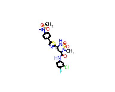 CN1[C@@H](C(=O)Nc2ccc(F)c(Cl)c2)C[C@@H](c2ncc(-c3ccc(NS(C)(=O)=O)cc3)s2)NS1(=O)=O